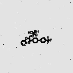 O=C([C@H](COP(=O)(O)O)Oc1ccccc1)N1CCC(c2ccc(C(F)(F)F)cc2)CC1